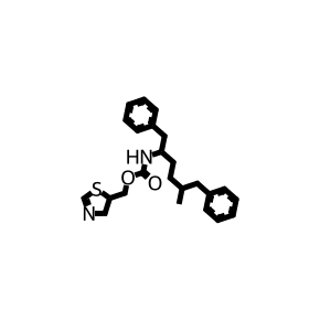 CC(CCC(Cc1ccccc1)NC(=O)OCC1CN=CS1)Cc1ccccc1